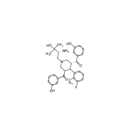 Cc1c(F)cccc1C1[C@@H](C(=O)c2cccc(O)c2)CN(C[C@@H](N)C(C)(C)O)C[C@@H]1C(=O)c1cccc(O)c1